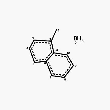 B.Cc1cccc2ccccc12